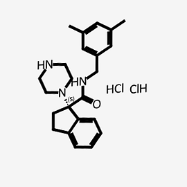 Cc1cc(C)cc(CNC(=O)[C@]2(N3CCNCC3)CCc3ccccc32)c1.Cl.Cl